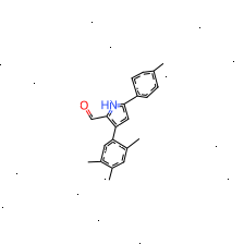 Cc1ccc(-c2cc(-c3cc(C)c(C)cc3C)c(C=O)[nH]2)cc1